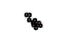 c1ccc(-c2ccccc2N(c2ccc(-c3cccc(-c4cccc5ccccc45)c3)cc2)c2ccccc2-c2cccc3sc4ccccc4c23)cc1